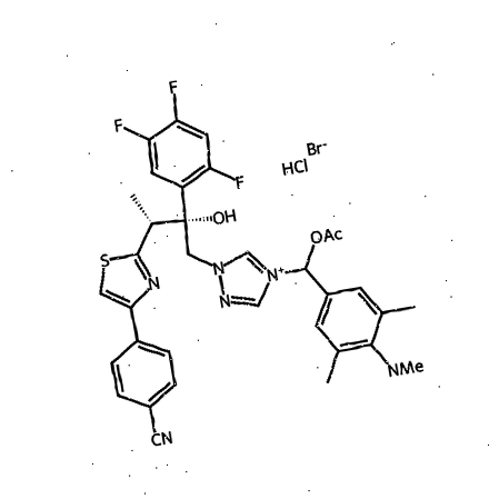 CNc1c(C)cc(C(OC(C)=O)[n+]2cnn(C[C@](O)(c3cc(F)c(F)cc3F)[C@@H](C)c3nc(-c4ccc(C#N)cc4)cs3)c2)cc1C.Cl.[Br-]